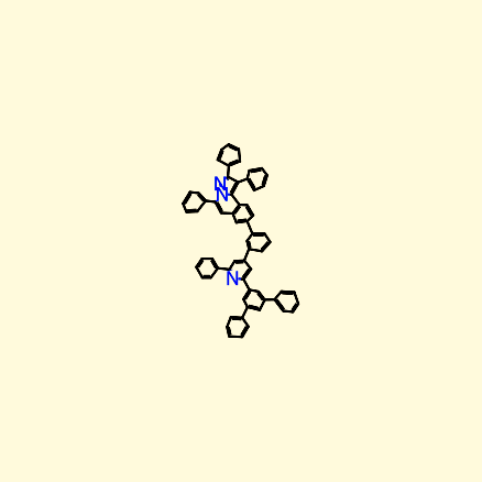 c1ccc(-c2cc(-c3ccccc3)cc(-c3cc(-c4cccc(-c5ccc6c(c5)cc(-c5ccccc5)n5nc(-c7ccccc7)c(-c7ccccc7)c65)c4)cc(-c4ccccc4)n3)c2)cc1